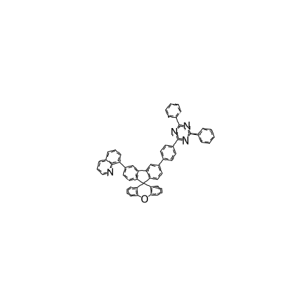 c1ccc(-c2nc(-c3ccccc3)nc(-c3ccc(-c4ccc5c(c4)-c4cc(-c6cccc7cccnc67)ccc4C54c5ccccc5Oc5ccccc54)cc3)n2)cc1